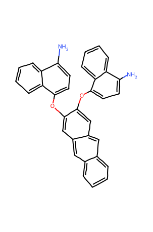 Nc1ccc(Oc2cc3cc4ccccc4cc3cc2Oc2ccc(N)c3ccccc23)c2ccccc12